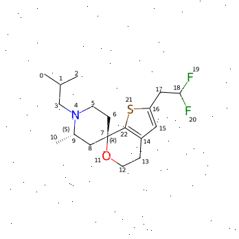 CC(C)CN1CC[C@]2(C[C@@H]1C)OCCc1cc(CC(F)F)sc12